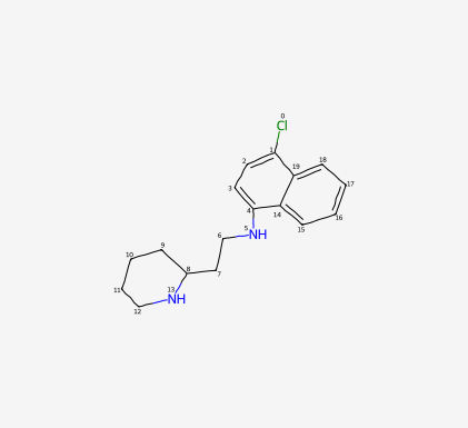 Clc1ccc(NCCC2CCCCN2)c2ccccc12